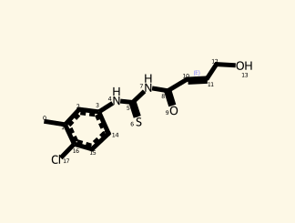 Cc1cc(NC(=S)NC(=O)/C=C/CO)ccc1Cl